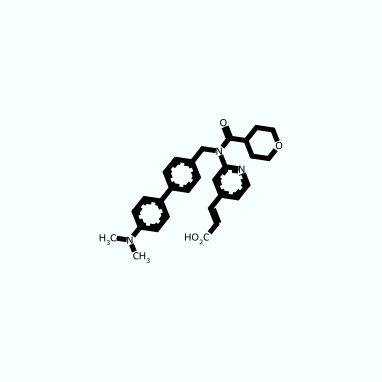 CN(C)c1ccc(-c2ccc(CN(C(=O)C3CCOCC3)c3cc(C=CC(=O)O)ccn3)cc2)cc1